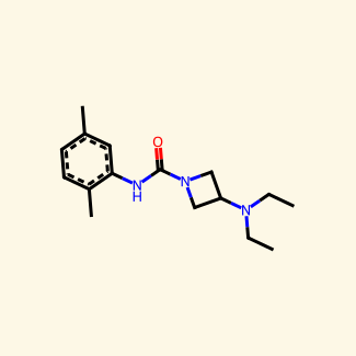 CCN(CC)C1CN(C(=O)Nc2cc(C)ccc2C)C1